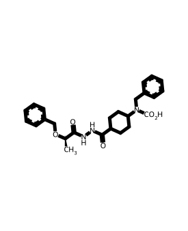 C[C@@H](OCc1ccccc1)C(=O)NNC(=O)C1CCC(N(Cc2ccccc2)C(=O)O)CC1